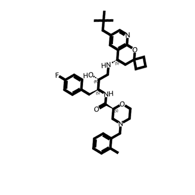 Cc1ccccc1CN1CCO[C@H](C(=O)N[C@@H](Cc2ccc(F)cc2)[C@H](O)CN[C@H]2CC3(CCC3)Oc3ncc(CC(C)(C)C)cc32)C1